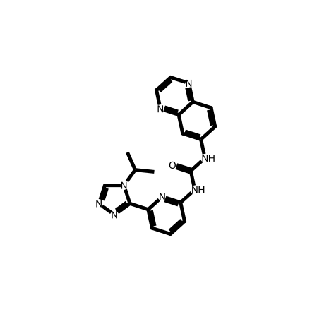 CC(C)n1cnnc1-c1cccc(NC(=O)Nc2ccc3nccnc3c2)n1